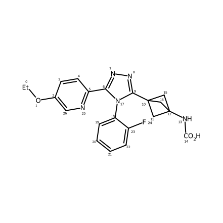 CCOc1ccc(-c2nnc(C34CC(NC(=O)O)(C3)C4)n2-c2ccccc2F)nc1